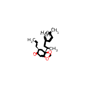 C=CC[C@H]1C[C@]2(C(C)CC(/C=C\C(=C)C)=C/C)OCOC2=CC1=O